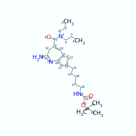 CCCN(CCC)C(=O)C1=Cc2sc(CCCCCNC(=O)OC(C)(C)C)cc2N=C(N)C1